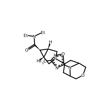 CCN(CC)C(=O)[C@H]1[C@@H]2CN(C3CC4COCC(C3)N4c3nc(C(F)(F)F)no3)C[C@@H]21